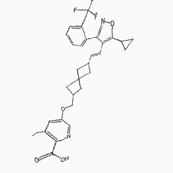 Cc1cc(OCC2CC3(CC(/C=C/c4c(-c5ccccc5C(F)(F)F)noc4C4CC4)C3)C2)cnc1C(=O)O